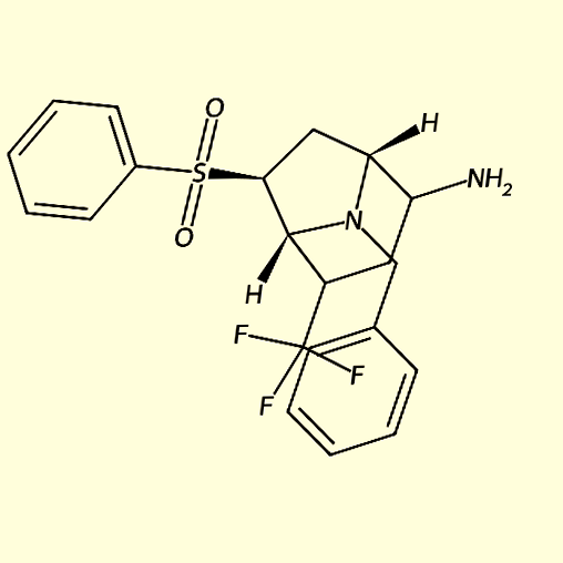 NC1CC(C(F)(F)F)[C@@H]2[C@@H](S(=O)(=O)c3ccccc3)C[C@H]1N2Cc1ccccc1